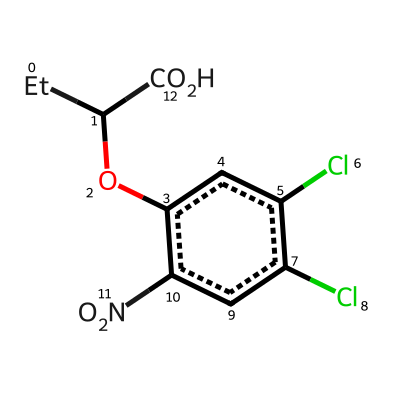 CCC(Oc1cc(Cl)c(Cl)cc1[N+](=O)[O-])C(=O)O